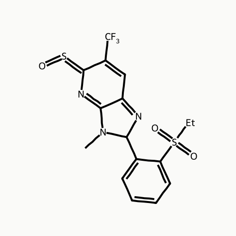 CCS(=O)(=O)c1ccccc1C1N=C2C=C(C(F)(F)F)C(=S=O)N=C2N1C